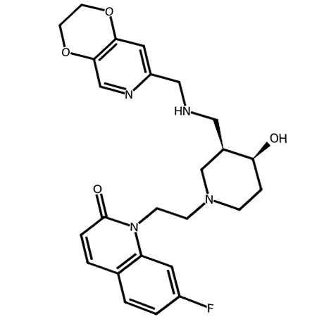 O=c1ccc2ccc(F)cc2n1CCN1CC[C@H](O)[C@H](CNCc2cc3c(cn2)OCCO3)C1